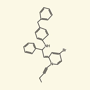 CCC#CN1C=CC(Br)=CC1=CC(Nc1ccc(Cc2ccccc2)cc1)c1ccccc1